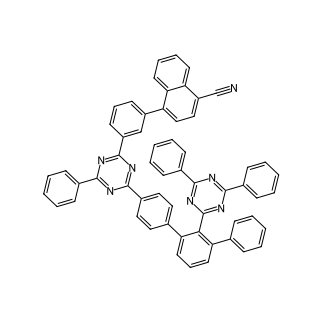 N#Cc1ccc(-c2cccc(-c3nc(-c4ccccc4)nc(-c4ccc(-c5cccc(-c6ccccc6)c5-c5nc(-c6ccccc6)nc(-c6ccccc6)n5)cc4)n3)c2)c2ccccc12